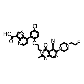 Cc1nc2cnc(N3CCN(CCF)CC3)c(C#N)c2c(=O)n1CCOc1ccc(Cl)cc1-c1ccnc2c(C(=O)O)csc12